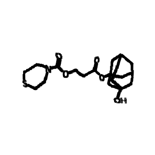 O=C(CCOC(=O)N1CCSCC1)OC12CC3CC(CC(O)(C3)C1)C2